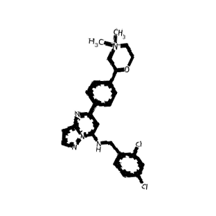 C[N+]1(C)CCOC(c2ccc(-c3cc(NCc4ccc(Cl)cc4Cl)n4nccc4n3)cc2)C1